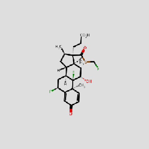 C[C@@H]1C[C@H]2[C@@H]3C[C@H](F)C4=CC(=O)C=C[C@]4(C)[C@@]3(F)[C@@H](O)C[C@]2(C)[C@]1(CCC(=O)O)C(=O)SCF